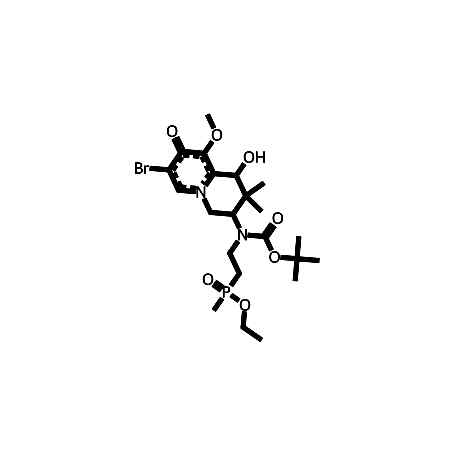 CCOP(C)(=O)CCN(C(=O)OC(C)(C)C)C1Cn2cc(Br)c(=O)c(OC)c2C(O)C1(C)C